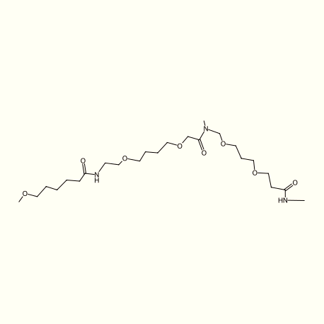 CNC(=O)CCOCCCOCN(C)C(=O)COCCCCOCCNC(=O)CCCCCOC